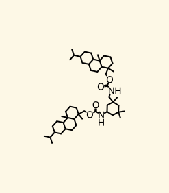 CC(C)C1CCC2C(CCC3C(C)(COC(=O)NCC4(C)CC(NC(=O)OCC5(C)CCCC6(C)C7CCC(C(C)C)CC7CCC56)CC(C)(C)C4)CCCC23C)C1